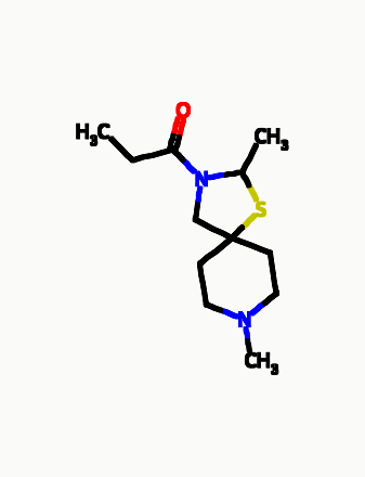 CCC(=O)N1CC2(CCN(C)CC2)SC1C